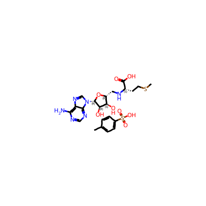 CSCC[C@H](NC[C@H]1O[C@@H](n2cnc3c(N)ncnc32)[C@H](O)[C@@H]1O)C(=O)O.Cc1ccc(S(=O)(=O)O)cc1